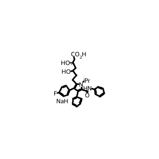 CC(C)n1c(CCC(O)C[C@@H](O)CC(=O)O)c(-c2ccc(F)cc2)c(-c2ccccc2)c1C(=O)Nc1ccccc1.[NaH]